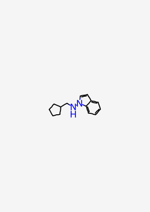 c1ccc2c(c1)ccn2NCC1CCCC1